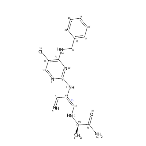 C[C@@H](N/C=C(\C=N)Nc1ncc(Cl)c(NCc2ccccc2)n1)C(N)=O